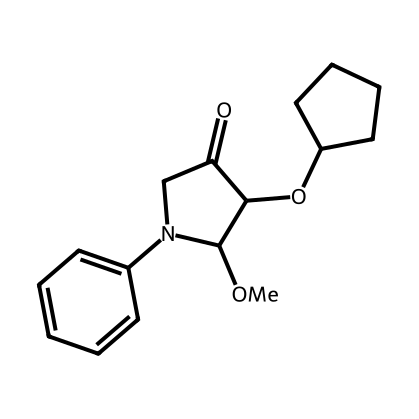 COC1C(OC2CCCC2)C(=O)CN1c1ccccc1